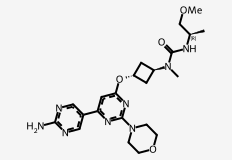 COC[C@@H](C)NC(=O)N(C)[C@H]1C[C@H](Oc2cc(-c3cnc(N)nc3)nc(N3CCOCC3)n2)C1